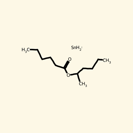 CCCCCC(=O)OC(C)CCCC.[SnH2]